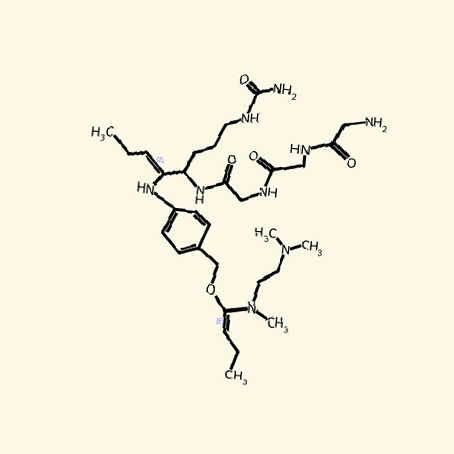 CC/C=C(\Nc1ccc(CO/C(=C/CC)N(C)CCN(C)C)cc1)C(CCCNC(N)=O)NC(=O)CNC(=O)CNC(=O)CN